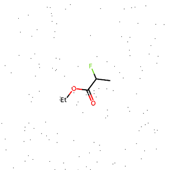 C[CH]OC(=O)C(C)F